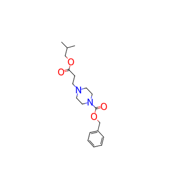 CC(C)COC(=O)CCN1CCN(C(=O)OCc2ccccc2)CC1